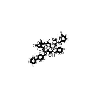 CC[C@H](C)[C@@H](C(=O)N[C@@H](Cc1ccccc1)[C@H](O)CN(Cc1ccc(-c2ccccn2)cc1)NC(=O)C1CC(=O)OC1(C)C)N1CCN(Cc2cccc(C)n2)C1=O